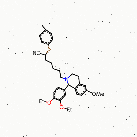 CCOc1ccc(C2c3ccc(OC)cc3CCN2CCCCCC(C#N)Sc2ccc(C)cc2)cc1OCC